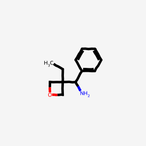 CCC1(C(N)c2cc[c]cc2)COC1